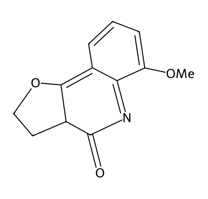 COc1cccc2c1=NC(=O)C1CCOC=21